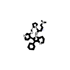 CN(C)C/C=C\C(=O)N1CCC[C@H]1COc1cnccc1-c1[nH]c2cccnc2c1-c1ccccc1